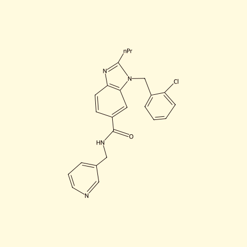 CCCc1nc2ccc(C(=O)NCc3cccnc3)cc2n1Cc1ccccc1Cl